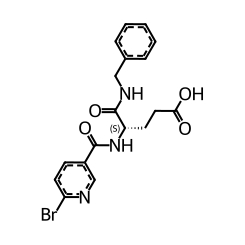 O=C(O)CC[C@H](NC(=O)c1ccc(Br)nc1)C(=O)NCc1ccccc1